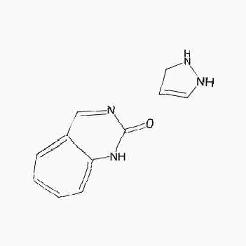 C1=CNNC1.O=c1ncc2ccccc2[nH]1